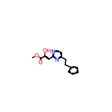 COC(=O)/C(O)=C/c1nccc(CCc2ccccc2)n1